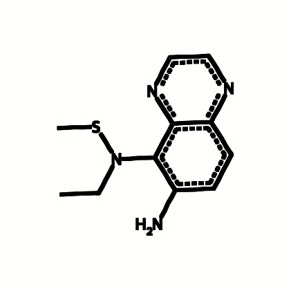 CCN(SC)c1c(N)ccc2nccnc12